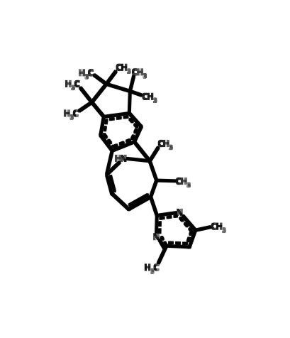 Cc1cc(C)nc(C2=CC=C3NC(C)(c4cc5c(cc43)C(C)(C)C(C)(C)C5(C)C)C2C)n1